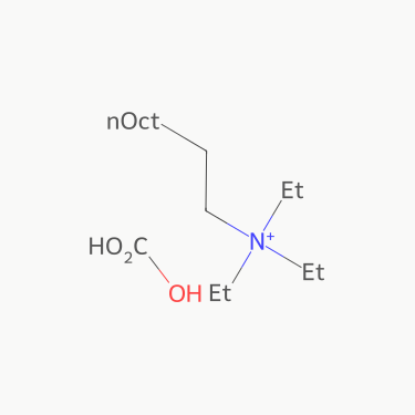 CCCCCCCCCC[N+](CC)(CC)CC.O=C(O)O